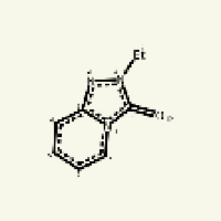 CCn1nc2ccccn2c1=O